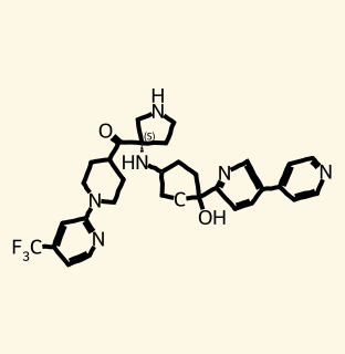 O=C(C1CCN(c2cc(C(F)(F)F)ccn2)CC1)[C@]1(NC2CCC(O)(c3ccc(-c4ccncc4)cn3)CC2)CCNC1